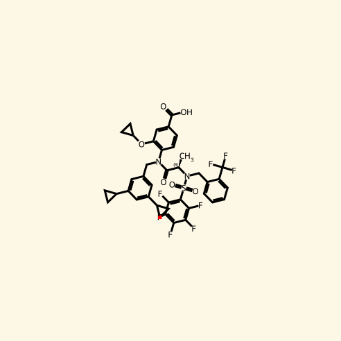 C[C@H](C(=O)N(Cc1cc(C2CC2)cc(C2CC2)c1)c1ccc(C(=O)O)cc1OC1CC1)N(Cc1ccccc1C(F)(F)F)S(=O)(=O)c1c(F)c(F)c(F)c(F)c1F